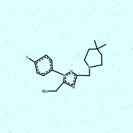 CC(C)(C)Cc1nc(CN2CCC(C)(C)CC2)nn1-c1ccc(F)cc1